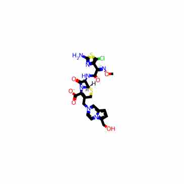 CO/N=C(\C(=O)N[C@@H]1C(=O)N2C(C(=O)[O-])=C(Cn3cc[n+]4c(CO)ccc-4c3)CS[C@H]12)c1nc(N)sc1Cl